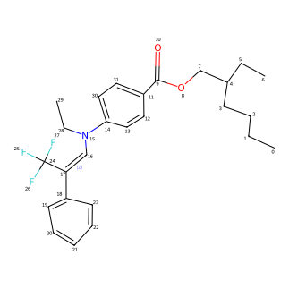 CCCCC(CC)COC(=O)c1ccc(N(/C=C(/c2ccccc2)C(F)(F)F)CC)cc1